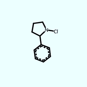 ClN1CCCC1c1ccccc1